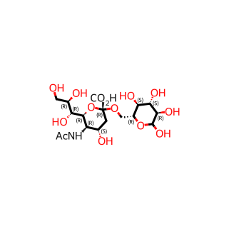 CC(=O)N[C@H]1[C@H]([C@H](O)[C@H](O)CO)O[C@@](OC[C@H]2OC(O)[C@H](O)[C@@H](O)[C@@H]2O)(C(=O)O)C[C@@H]1O